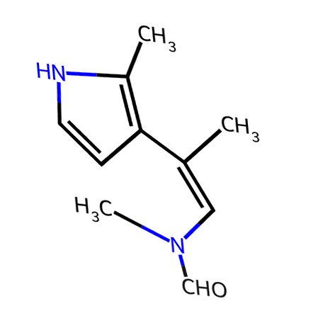 C/C(=C/N(C)C=O)c1cc[nH]c1C